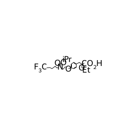 CCOC(Cc1ccc(OCCN(CCCCCC(F)(F)F)C(=O)OC(C)C)cc1)C(=O)O